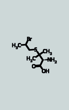 CC(Br)CSC(C)(C)[C@H](N)C(=O)O